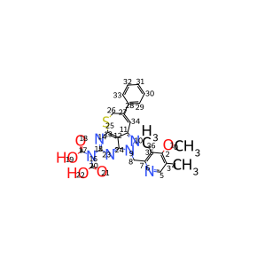 COc1c(C)cnc(Cn2nc3c4c(nc(N(C(=O)O)C(=O)O)nc42)SCC(c2ccccc2)=C3)c1C